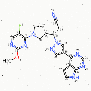 COc1ncc(F)c(N2CC[C@H]([C@H](CC#N)n3cc(-c4ncnc5[nH]ccc45)cn3)C2)n1